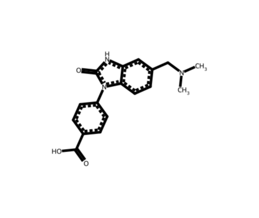 CN(C)Cc1ccc2c(c1)[nH]c(=O)n2-c1ccc(C(=O)O)cc1